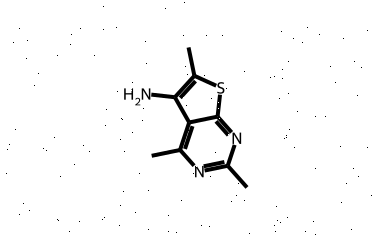 Cc1nc(C)c2c(N)c(C)sc2n1